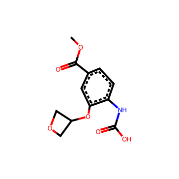 COC(=O)c1ccc(NC(=O)O)c(OC2COC2)c1